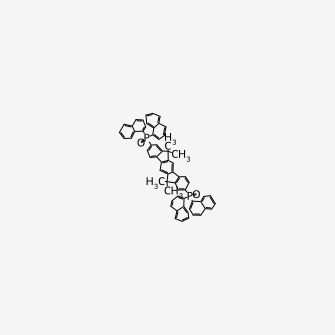 CC1(C)c2cc(P(=O)(c3cccc4ccccc34)c3cccc4ccccc34)ccc2-c2cc3c(cc21)-c1ccc(P(=O)(c2cccc4ccccc24)c2cccc4ccccc24)cc1C3(C)C